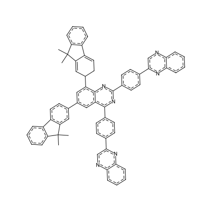 CC1(C)C2=CC(c3cc(-c4ccc5c(c4)C(C)(C)c4ccccc4-5)cc4c(-c5ccc(-c6cnc7ccccc7n6)cc5)nc(-c5ccc(-c6cnc7ccccc7n6)cc5)nc34)CC=C2c2ccccc21